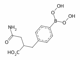 NC(=O)CC(Cc1ccc(B(OO)OO)cc1)C(=O)O